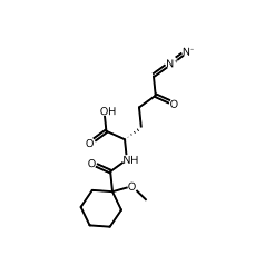 COC1(C(=O)N[C@@H](CCC(=O)C=[N+]=[N-])C(=O)O)CCCCC1